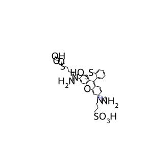 NN(CCCSOOO)c1ccc2c(-c3ccccc3S(=O)(=O)O)c3cc/c(=[N+](\N)CCCS(=O)(=O)O)cc-3oc2c1